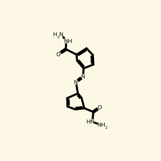 NNC(=O)c1cccc(N=Nc2cccc(C(=O)NN)c2)c1